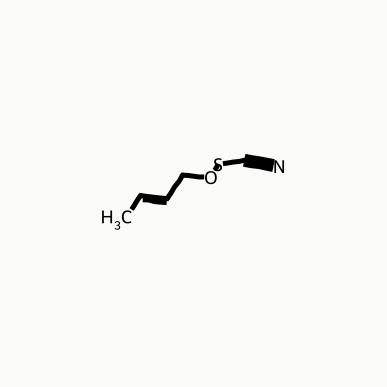 CC=CCOSC#N